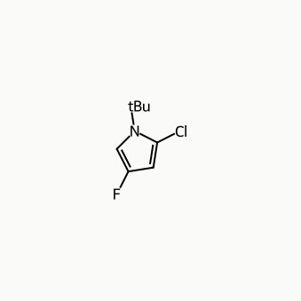 CC(C)(C)n1cc(F)cc1Cl